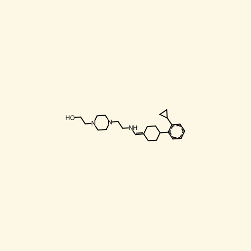 OCCN1CCN(CCNC=C2CCC(c3ccccc3C3CC3)CC2)CC1